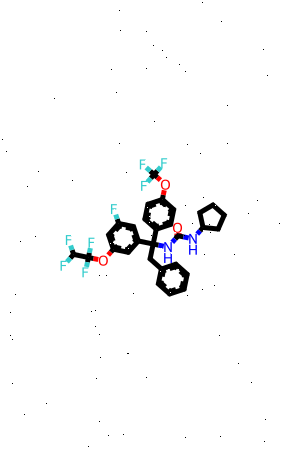 O=C(NC1CCCC1)NC(Cc1ccccc1)(c1ccc(OC(F)(F)F)cc1)c1cc(F)cc(OC(F)(F)C(F)F)c1